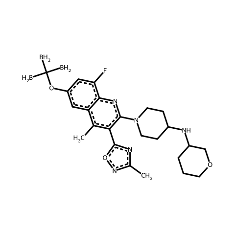 BC(B)(B)Oc1cc(F)c2nc(N3CCC(NC4CCCOC4)CC3)c(-c3nc(C)no3)c(C)c2c1